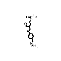 CC(=O)OCCC([C]=O)CC(=O)c1ccc(C=NN)cc1